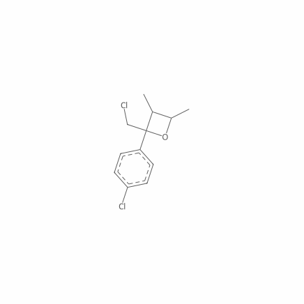 CC1OC(CCl)(c2ccc(Cl)cc2)C1C